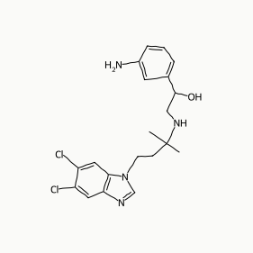 CC(C)(CCn1cnc2cc(Cl)c(Cl)cc21)NCC(O)c1cccc(N)c1